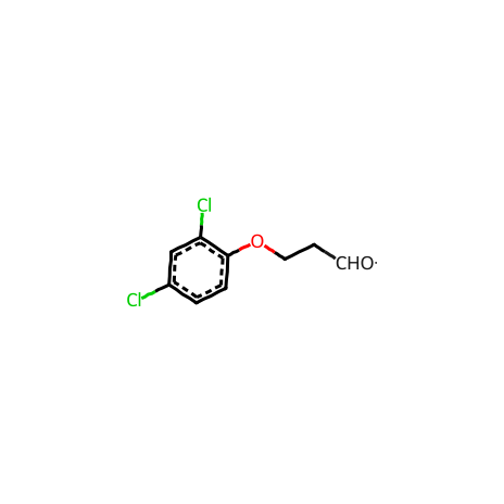 O=[C]CCOc1ccc(Cl)cc1Cl